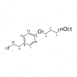 CCCCCCCCCCCOc1ccc(CCI)cc1